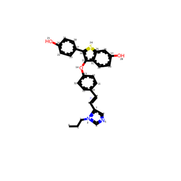 CCCn1cncc1/C=C/c1ccc(Oc2c(-c3ccc(O)cc3)sc3cc(O)ccc23)cc1